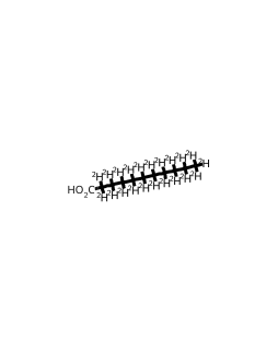 [2H]C([2H])([2H])C([2H])([2H])C([2H])([2H])C([2H])([2H])C([2H])([2H])C([2H])([2H])C([2H])([2H])C([2H])([2H])C([2H])([2H])C([2H])([2H])C(=O)O